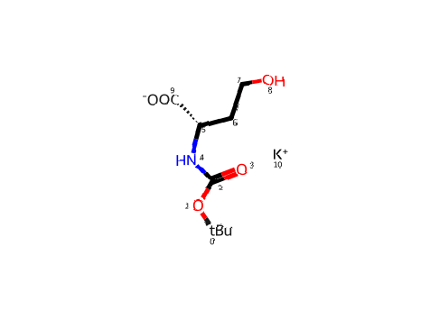 CC(C)(C)OC(=O)N[C@@H](CCO)C(=O)[O-].[K+]